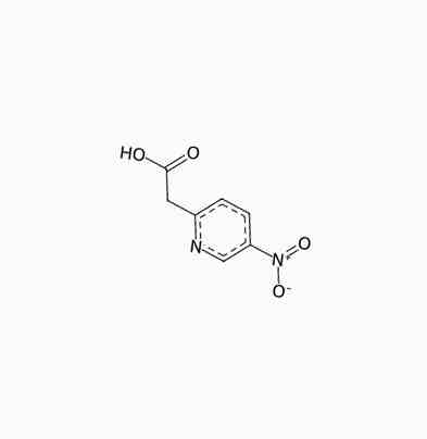 O=C(O)Cc1ccc([N+](=O)[O-])cn1